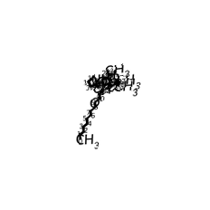 CCCCCCCCCOCCC[C@]1(OC2CCCN2)O[C@H](CC)[C@@H]2OC(C)(C)O[C@@H]21